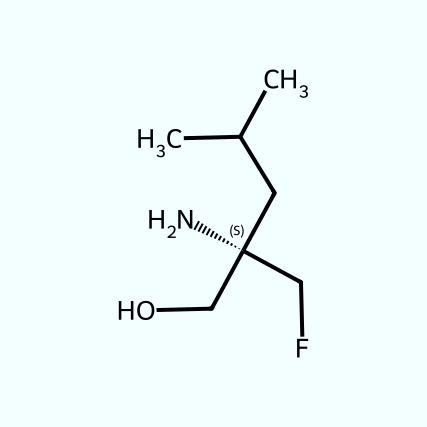 CC(C)C[C@](N)(CO)CF